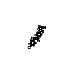 CCOS(=N)(=O)c1ccc(C(=O)Nc2ccc(Cl)cc2)cc1